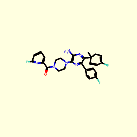 CC1(c2nc(N)c(N3CCN(C(=O)c4cccc(F)n4)CC3)nc2-c2ccc(F)cc2)C=CC(F)=CC1